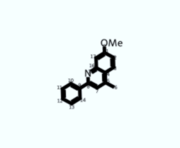 COc1ccc2c(C)cc(-c3ccccc3)nc2c1